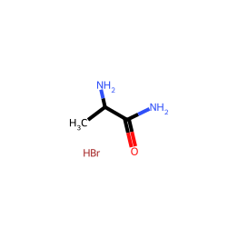 Br.CC(N)C(N)=O